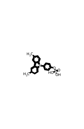 Cc1ccc2c(c1)c1c(n2-c2ccc(OP(=O)(O)O)cc2)=CCC(C)C=1